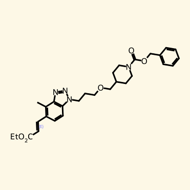 CCOC(=O)/C=C/c1ccc2c(nnn2CCCOCC2CCN(C(=O)OCc3ccccc3)CC2)c1C